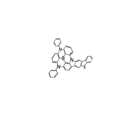 c1ccc(N2c3cccc4c3B3c5c2cccc5-n2c5cc6c(cc5c5ccc(c3c52)N4c2ccccc2)sc2ccccc26)cc1